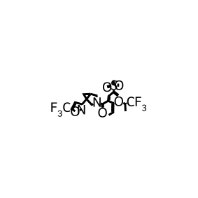 C=C(/C=C(C(=O)N1CC2CC2(c2cc(C(F)(F)F)on2)C1)\C(=C/C)O[C@H](C)C(F)(F)F)S(C)(=O)=O